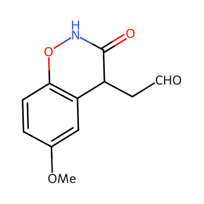 COc1ccc2c(c1)C(CC=O)C(=O)NO2